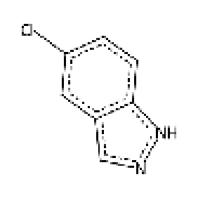 Clc1ccc2[nH]ncc2c1